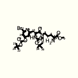 COC(=O)[C@@H](N)CCCNC(=O)[C@H](Cc1cc(OC(=O)OC(C)(C)C)cc(Br)n1)NC(=O)OC(C)(C)C